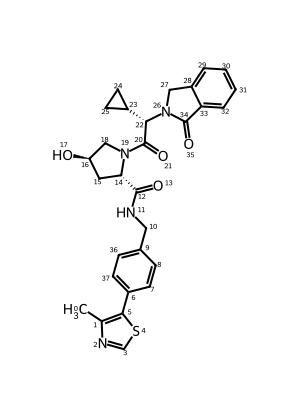 Cc1ncsc1-c1ccc(CNC(=O)[C@@H]2C[C@@H](O)CN2C(=O)[C@H](C2CC2)N2Cc3ccccc3C2=O)cc1